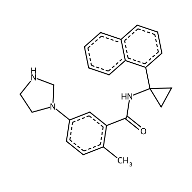 Cc1ccc(N2CCNC2)cc1C(=O)NC1(c2cccc3ccccc23)CC1